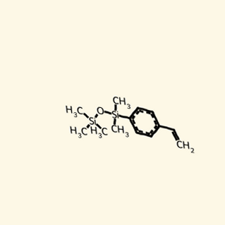 C=Cc1ccc([Si](C)(C)O[Si](C)(C)C)cc1